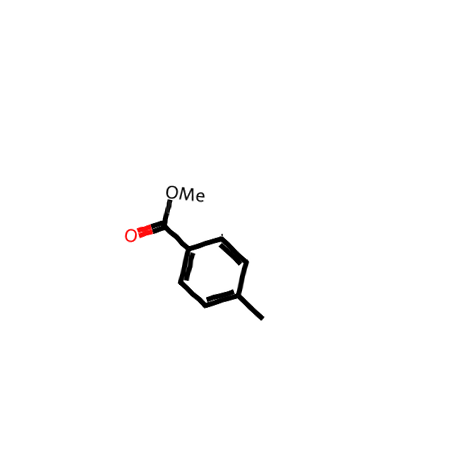 COC(=O)c1[c]cc(C)cc1